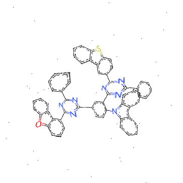 c1ccc(-c2nc(-c3ccc4sc5ccccc5c4c3)nc(-c3cc(-c4nc(-c5ccccc5)nc(-c5cccc6oc7ccccc7c56)n4)ccc3-n3c4ccccc4c4ccccc43)n2)cc1